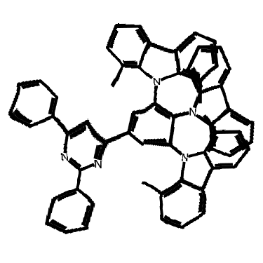 Cc1cccc2c3cccc(C)c3n(-c3cc(-c4cc(-c5ccccc5)nc(-c5ccccc5)n4)cc(-n4c5c(C)cccc5c5cccc(C)c54)c3-n3c4ccccc4c4ccccc43)c12